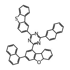 C1=CC2Oc3cc(-c4cccc5ccccc45)cc(-c4nc(-c5ccc6ccccc6c5)nc(-c5ccc6sc7ccccc7c6c5)n4)c3C2C=C1